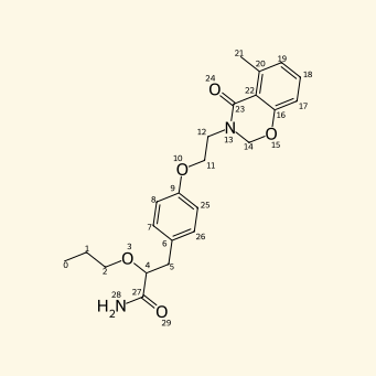 CCCOC(Cc1ccc(OCCN2COc3cccc(C)c3C2=O)cc1)C(N)=O